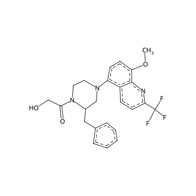 COc1ccc(N2CCN(C(=O)CO)C(Cc3ccccc3)C2)c2ccc(C(F)(F)F)nc12